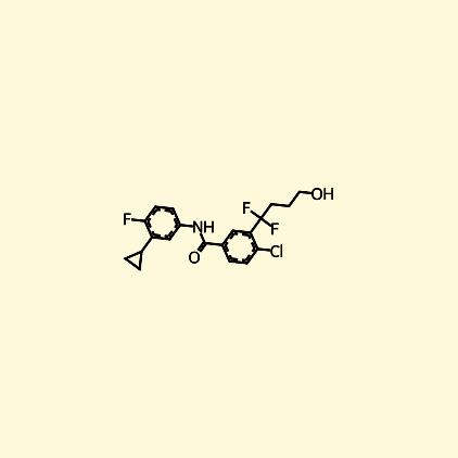 O=C(Nc1ccc(F)c(C2CC2)c1)c1ccc(Cl)c(C(F)(F)CCCO)c1